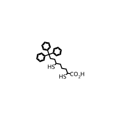 O=C(O)C(S)CCCC(S)CCC(c1ccccc1)(c1ccccc1)c1ccccc1